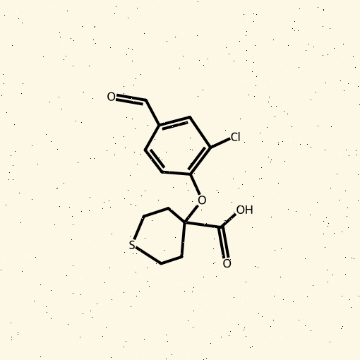 O=Cc1ccc(OC2(C(=O)O)CCSCC2)c(Cl)c1